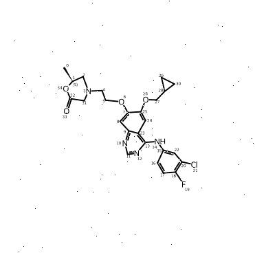 C[C@H]1CN(CCOc2cc3ncnc(Nc4ccc(F)c(Cl)c4)c3cc2OCC2CC2)CC(=O)O1